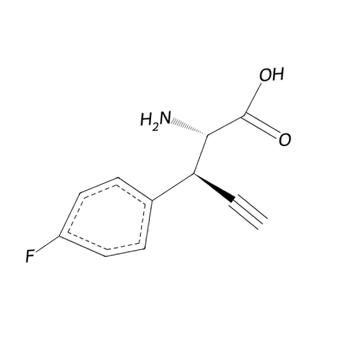 C#C[C@@H](c1ccc(F)cc1)[C@H](N)C(=O)O